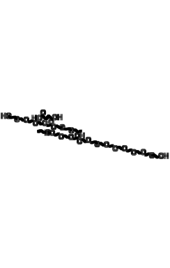 C=CCOC.CC(O)COCCOCCOCCOCCOCCOCCOCCO.O=C(O)C=CC(=O)O.OCCOCCOCCOCCOCCOCCOCCOCCOCCOCCOCCOCCO